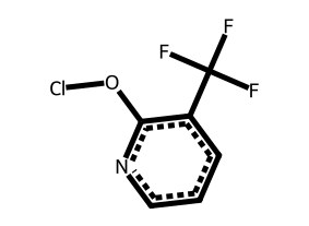 FC(F)(F)c1cccnc1OCl